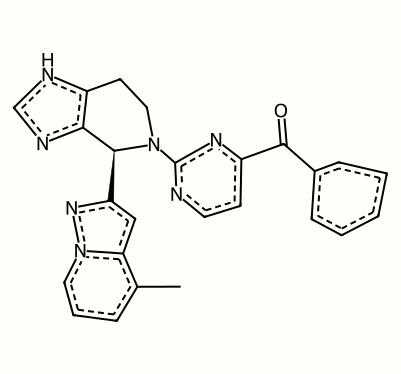 Cc1cccn2nc([C@H]3c4nc[nH]c4CCN3c3nccc(C(=O)c4ccccc4)n3)cc12